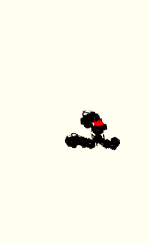 c1ccc2c(-c3cccc4oc5ccccc5c34)cc(-c3nc(-c4ccc5cc6c(cc5c4)oc4ccccc46)nc(-c4ccc5ccc6ccccc6c5c4)n3)cc2c1